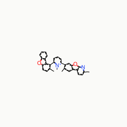 Cc1ccc2c(n1)oc1cc(-c3cccc(-c4c(C)ccc5oc6ccccc6c45)[n+]3C)c(C)cc12